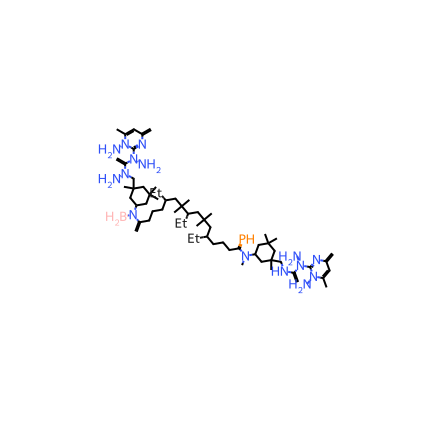 BN(C(=C)CCCC(CC)CC(C)(C)C(CC)CC(C)(C)CC(CC)CCCC(=P)N(C)C1CC(C)(C)CC(C)(CNC(=C)N(N)C2=NC(=C)C=C(C)N2N)C1)C1CC(C)(C)CC(C)(CN(N)C(=C)N(N)C2=NC(=C)C=C(C)N2N)C1